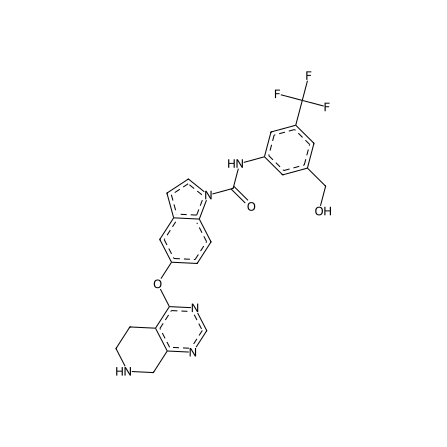 O=C(Nc1cc(CO)cc(C(F)(F)F)c1)n1ccc2cc(Oc3ncnc4c3CCNC4)ccc21